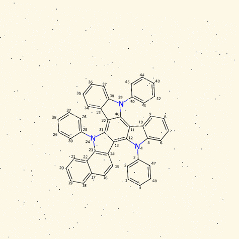 c1ccc(-n2c3ccccc3c3c2c2c4ccc5ccccc5c4n(-c4ccccc4)c2c2c4ccccc4n(-c4ccccc4)c32)cc1